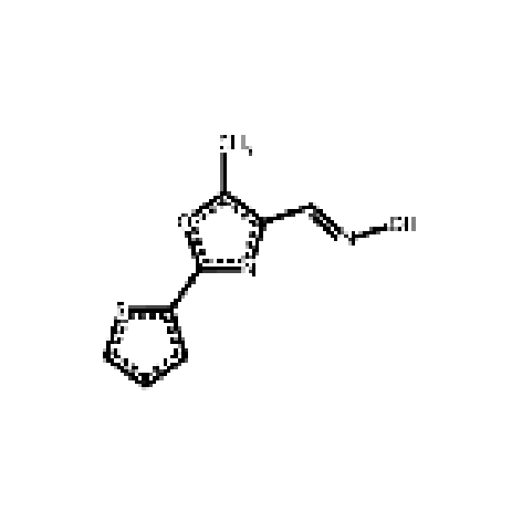 Cc1oc(-c2cccs2)nc1C=NO